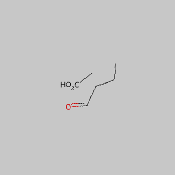 CC(=O)O.CCCC=O